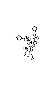 CCC[C@H](NC(=O)[C@@H]1C[C@]2(CC(c3ccc(C)cc3)=NO2)CN1C(=O)[C@@H](NC(=O)OCc1ccccc1)C(C)(C)C)C(=O)C(=O)CC1CC1